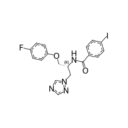 O=C(N[C@@H](COc1ccc(F)cc1)Cn1cncn1)c1ccc(I)cc1